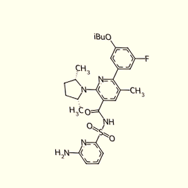 Cc1cc(C(=O)NS(=O)(=O)c2cccc(N)n2)c(N2[C@H](C)CC[C@@H]2C)nc1-c1cc(F)cc(OCC(C)C)c1